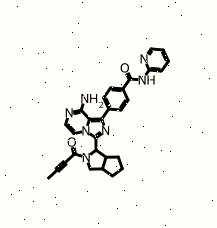 CC#CC(=O)N1CC2CCCC2C1c1nc(-c2ccc(C(=O)Nc3ccccn3)cc2)c2c(N)nccn12